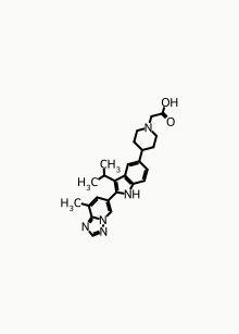 Cc1cc(-c2[nH]c3ccc(C4CCN(CC(=O)O)CC4)cc3c2C(C)C)cn2ncnc12